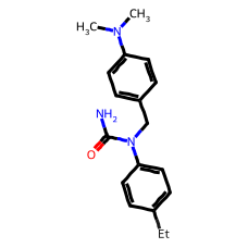 CCc1ccc(N(Cc2ccc(N(C)C)cc2)C(N)=O)cc1